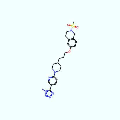 Cn1nnnc1-c1ccc(N2CCC(CCCOc3ccc4c(c3)CCN(S(C)(=O)=O)C4)CC2)nc1